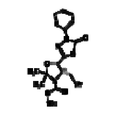 CC(C)C[C@H]1C(c2nn(-c3ccccc3)c(=O)o2)OC(C)(C)N1C(=O)OC(C)(C)C